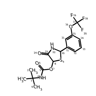 CC(C)(C)NC(=O)OC1SC(c2cccc(OC(F)(F)F)c2)NC1=O